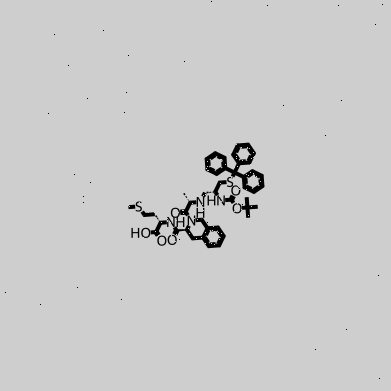 CSCC[C@H](NC(=O)[C@@H]1Cc2ccccc2CN1C(=O)[C@H](C)NC[C@H](CSC(c1ccccc1)(c1ccccc1)c1ccccc1)NC(=O)OC(C)(C)C)C(=O)O